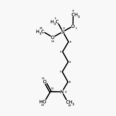 CO[Si](C)(CCCCCN(C)C(=O)O)OC